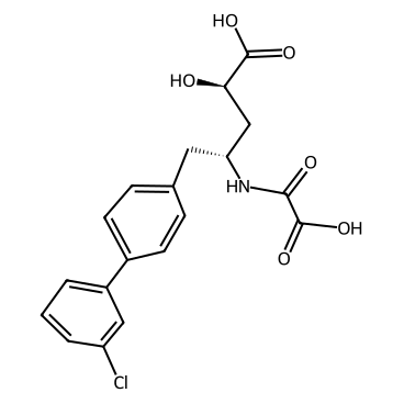 O=C(O)C(=O)N[C@H](Cc1ccc(-c2cccc(Cl)c2)cc1)C[C@@H](O)C(=O)O